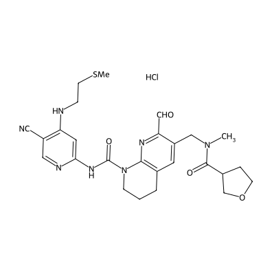 CSCCNc1cc(NC(=O)N2CCCc3cc(CN(C)C(=O)C4CCOC4)c(C=O)nc32)ncc1C#N.Cl